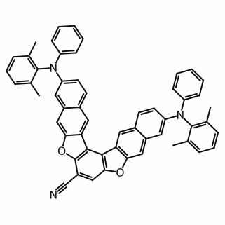 Cc1cccc(C)c1N(c1ccccc1)c1ccc2cc3c(cc2c1)oc1cc(C#N)c2oc4cc5cc(N(c6ccccc6)c6c(C)cccc6C)ccc5cc4c2c13